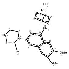 COc1cc2nc(N3CCNCC3C(C)=O)nc(N)c2cc1OC.Cl.O.c1cc2ccc1-2